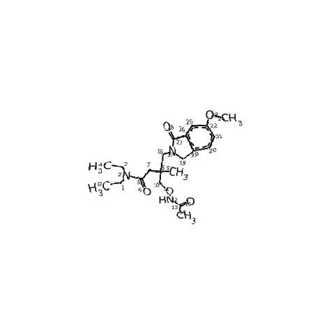 CCN(CC)C(=O)CC(C)(CONC(C)=O)CN1Cc2ccc(OC)cc2C1=O